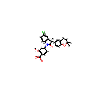 COc1cc(N2C(=O)[C@@](C)(c3ccc4c(c3)CCC(C)(C)O4)c3cc(Cl)ccc32)ccc1C(=O)O